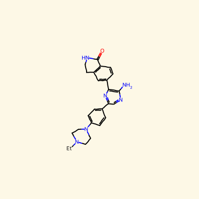 CCN1CCN(c2ccc(-c3cnc(N)c(-c4ccc5c(c4)CCNC5=O)n3)cc2)CC1